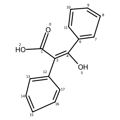 O=C(O)C(=C(O)c1ccccc1)c1ccccc1